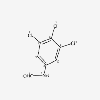 O=[C]Nc1cc(Cl)c(Cl)c(Cl)c1